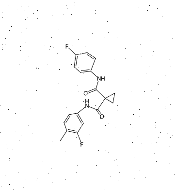 Cc1ccc(NC(=O)C2(C(=O)Nc3ccc(F)cc3)CC2)cc1F